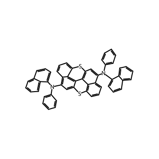 c1ccc(N(c2cccc3ccccc23)c2cc3sc4cccc5c(N(c6ccccc6)c6cccc7ccccc67)cc6sc7cccc2c7c3-c6c45)cc1